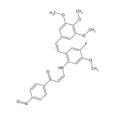 COc1cc(N/C=C\C(=O)c2ccc(N=O)cc2)c(/C=C\c2cc(OC)c(OC)c(OC)c2)cc1F